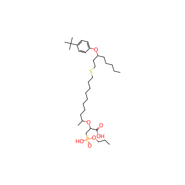 CCCCCC(CCSCCCCCCCCC(C)OC(CP(=O)(O)OCCC)C(=O)O)Oc1ccc(C(C)(C)C)cc1